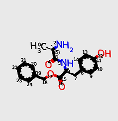 C[C@H](N)C(=O)N[C@@H](Cc1ccc(O)cc1)C(=O)OCc1ccccc1